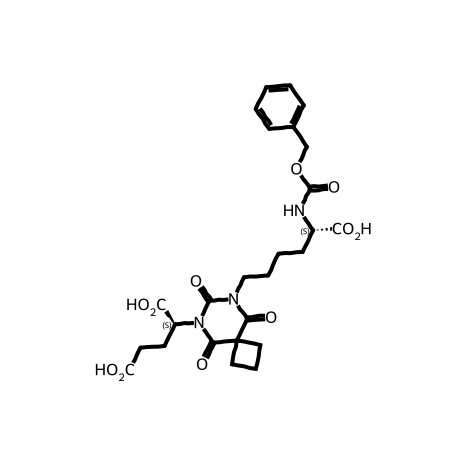 O=C(O)CC[C@@H](C(=O)O)N1C(=O)N(CCCC[C@H](NC(=O)OCc2ccccc2)C(=O)O)C(=O)C2(CCC2)C1=O